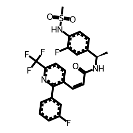 C[C@@H](NC(=O)/C=C\c1ccc(C(F)(F)F)nc1-c1cccc(F)c1)c1ccc(NS(C)(=O)=O)c(F)c1